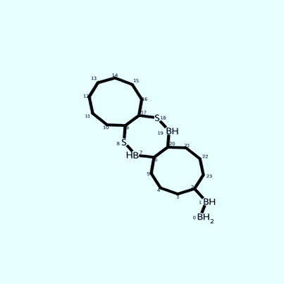 BBC1CCCC2BSC3CCCCCCCC3SBC2CCC1